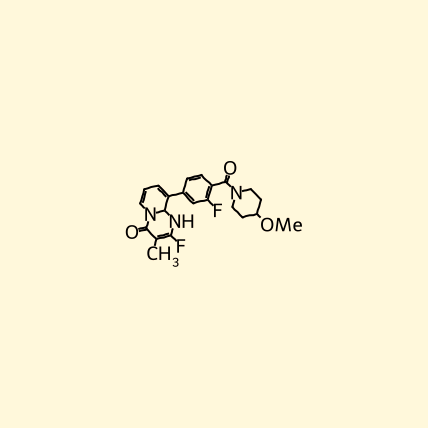 COC1CCN(C(=O)c2ccc(C3=CC=CN4C(=O)C(C)=C(F)NC34)cc2F)CC1